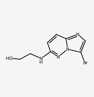 OCCNc1ccc2ncc(Br)n2n1